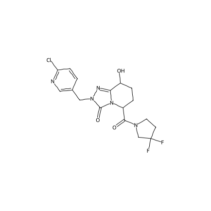 O=C(C1CCC(O)c2nn(Cc3ccc(Cl)nc3)c(=O)n21)N1CCC(F)(F)C1